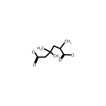 CC(CC(C)(C)CC(=O)Cl)C(=O)Cl